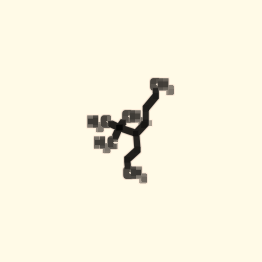 CCC[CH]C(CCC)C(C)(C)C